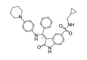 O=C1Nc2ccc(S(=O)(=O)NCC3CC3)cc2/C1=C(/Nc1ccc(N2CCCCC2)cc1)c1ccccc1